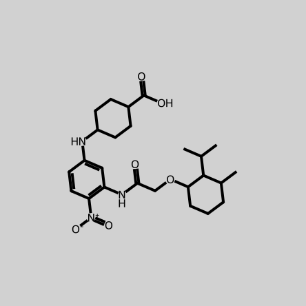 CC(C)C1C(C)CCCC1OCC(=O)Nc1cc(NC2CCC(C(=O)O)CC2)ccc1[N+](=O)[O-]